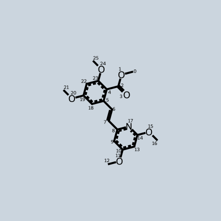 COC(=O)c1c(C=Cc2cc(OC)cc(OC)n2)cc(OC)cc1OC